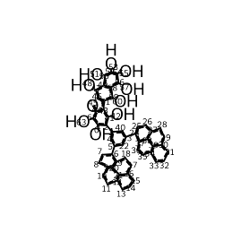 Oc1c(-c2cc(-c3ccc4ccc5cccc6ccc3c4c56)cc(-c3ccc4ccc5cccc6ccc3c4c56)c2)c(O)c2c(oc3c(O)c4c(O)c(O)c(O)c(O)c4c(O)c32)c1O